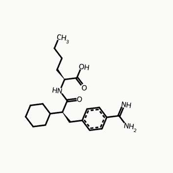 CCCC[C@H](NC(=O)[C@@H](Cc1ccc(C(=N)N)cc1)C1CCCCC1)C(=O)O